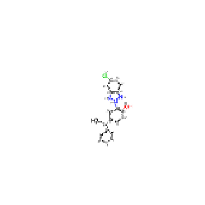 CC(c1ccccc1)c1ccc(O)c(-n2nc3ccc(Cl)cc3n2)c1